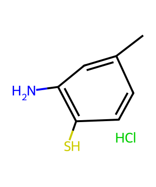 Cc1ccc(S)c(N)c1.Cl